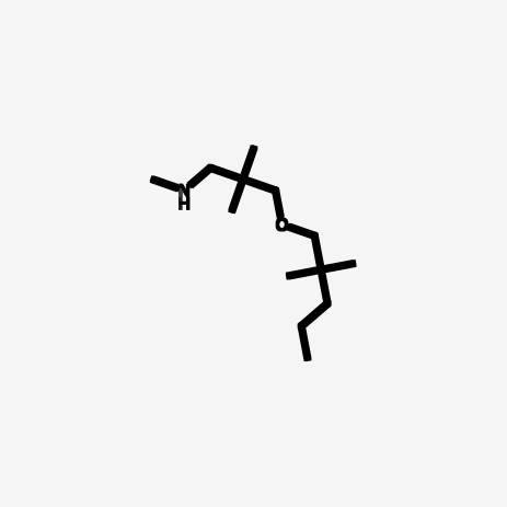 CCCC(C)(C)COCC(C)(C)CNC